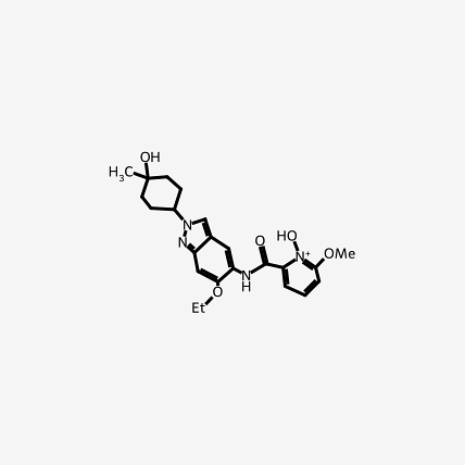 CCOc1cc2nn(C3CCC(C)(O)CC3)cc2cc1NC(=O)c1cccc(OC)[n+]1O